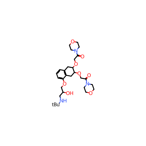 CC(C)(C)NCC(O)COc1cccc2c1CC(OCC(=O)N1CCOCC1)C(OCC(=O)N1CCOCC1)C2